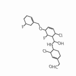 O=CCC1=CC(Cl)C(NC(O)C2C(Cl)C=CC(OCC3=CCCC(F)C3)C2F)CC1